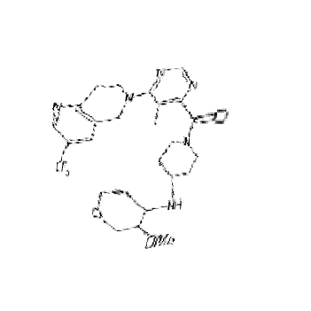 COC1COCCC1NC1CCN(C(=O)c2ncnc(N3CCc4ncc(C(F)(F)F)cc4C3)c2C)CC1